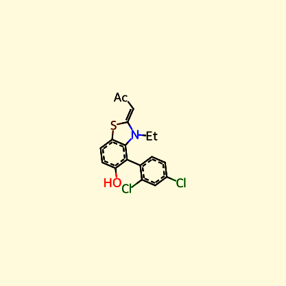 CCN1/C(=C/C(C)=O)Sc2ccc(O)c(-c3ccc(Cl)cc3Cl)c21